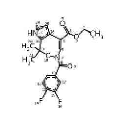 CCOC(=O)C1=CN(C(=O)c2ccc(F)c(F)c2)CC(C)(C)c2[nH]ncc21